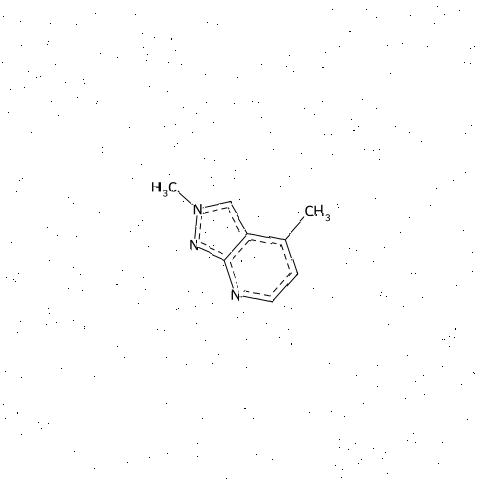 Cc1ccnc2nn(C)cc12